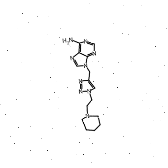 Nc1ncnc2c1ncn2Cc1cn(CCN2CCCCC2)nn1